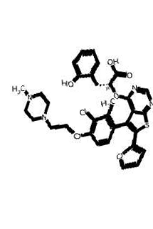 Cc1c(-c2c(-c3ccco3)sc3ncnc(O[C@H](Cc4ccccc4O)C(=O)O)c23)ccc(OCCN2CCN(C)CC2)c1Cl